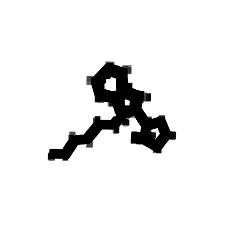 CCCCCCn1c(C2CCCN2)nc2ccccc21